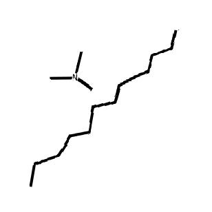 CN(C)C.[CH2]CCCCCCCCCCC